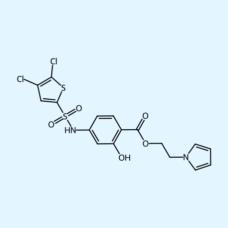 O=C(OCCn1cccc1)c1ccc(NS(=O)(=O)c2cc(Cl)c(Cl)s2)cc1O